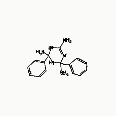 NC1=NC(N)(c2ccccc2)NC(N)(c2ccccc2)N1